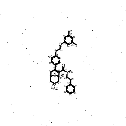 CC(=O)N1CC2CC(c3ccc(CCOc4cc(C)cc(C)c4)cc3)=C(C(=O)N(C)CCc3ccccc3)[C@@H](C1)N2